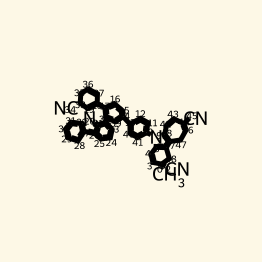 CC1(C#N)C=Cc2c(c3c(n2-c2ccc(-c4ccc(C5=C(n6c7ccccc7c7ccccc76)C(C#N)CC=C5)cc4)cc2)C=CC(C#N)=CC3)C1